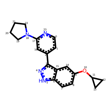 c1cc(-c2n[nH]c3ccc(OC4CC4)cc23)cc(N2CCCC2)n1